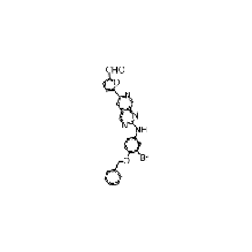 O=Cc1ccc(-c2cc3cnc(Nc4ccc(OCc5ccccc5)c(Br)c4)nc3cn2)o1